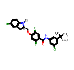 CCN1c2ccc(Cl)cc2C[C@@H]1COc1cc(F)c(C(=O)Nc2cc(Cl)cc(C(C)(C)C(=O)O)c2)cc1F